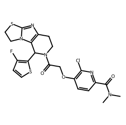 CN(C)C(=O)c1ccc(OCC(=O)N2CCc3nc4n(c3C2c2sccc2F)CCS4)c(Cl)n1